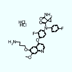 COc1cc2nccc(Oc3ccc(N(C(=O)C4(C(N)=O)CC4)c4ccc(F)cc4)cc3F)c2cc1OCCCN.Cl.Cl